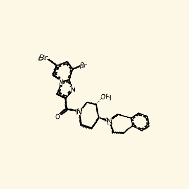 O=C(c1cn2cc(Br)cc(Br)c2n1)N1CC[C@H](N2CCc3ccccc3C2)[C@@H](O)C1